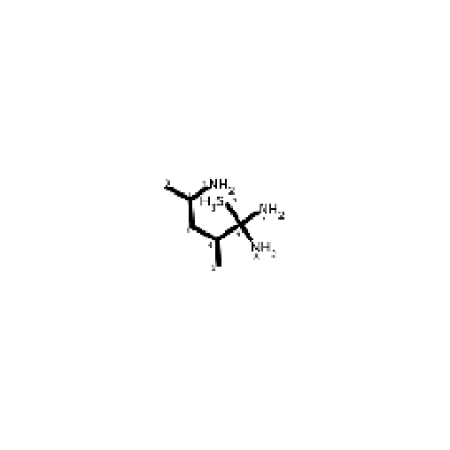 CC(N)CC(C)C(N)(N)[SiH3]